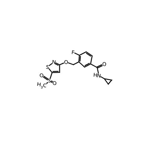 CS(=O)(=O)c1cc(OCc2cc(C(=O)NC3CC3)ccc2F)ns1